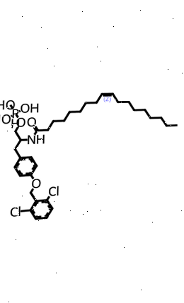 CCCCCCCC/C=C\CCCCCCCC(=O)NC(CO[PH](O)(O)O)Cc1ccc(OCc2c(Cl)cccc2Cl)cc1